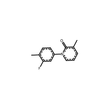 Cc1ccc(-n2cccc(C)c2=O)cc1F